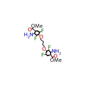 COC(=O)c1cc(F)c(OCCCCOc2c(F)cc(C(=O)OC)c(N)c2F)c(F)c1N